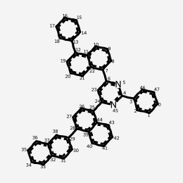 c1ccc(-c2nc(-c3cccc4c(-c5ccccc5)cccc34)cc(-c3ccc(-c4ccc5ccccc5c4)c4ccccc34)n2)cc1